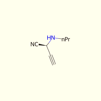 C#C[C@@H](C#N)NCCC